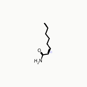 CCCCC/C=C\C(N)=O